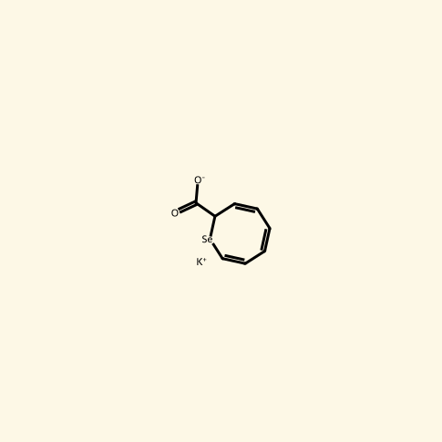 O=C([O-])C1C=CC=CC=C[Se]1.[K+]